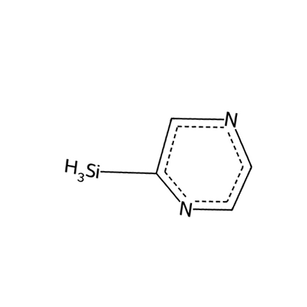 [SiH3]c1cnccn1